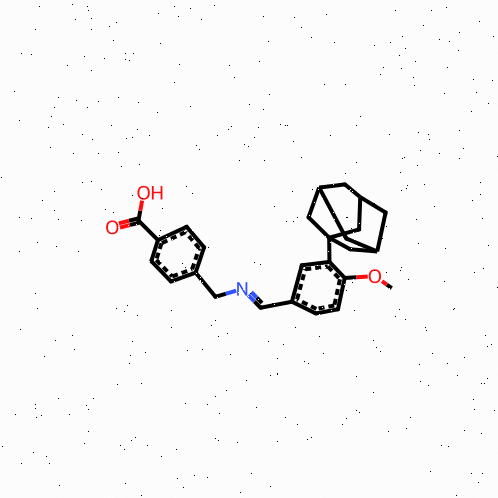 COc1ccc(C=NCc2ccc(C(=O)O)cc2)cc1C12CC3CC(CC(C3)C1)C2